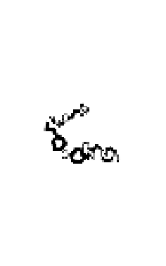 C[Si](C)(C)CCOCn1nccc1-c1ccc(Oc2ccc3nc(CN4CCOCC4)oc3c2)cc1